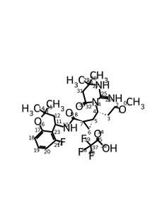 COCC[C@H]([C@@H]1C[C@H]1C(=O)NC1CC(C)(C)Oc2cccc(F)c21)N1C(=N)NC(C)(C)CC1=O.O=C(O)C(F)(F)F